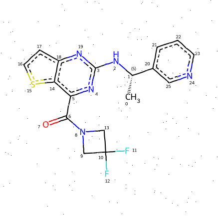 C[C@H](Nc1nc(C(=O)N2CC(F)(F)C2)c2sccc2n1)c1cccnc1